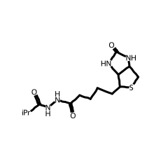 CC(C)C(=O)NNC(=O)CCCCC1SCC2NC(=O)NC21